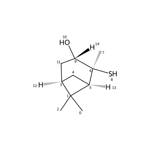 CC1(C)[C@@H]2C[C@H]1[C@](C)(S)[C@@H](O)C2